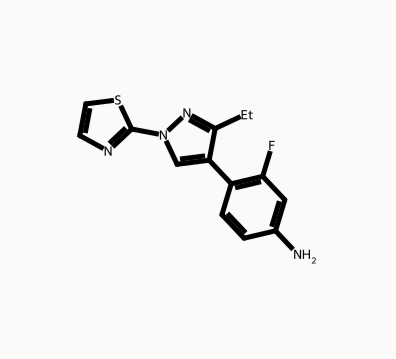 CCc1nn(-c2nccs2)cc1-c1ccc(N)cc1F